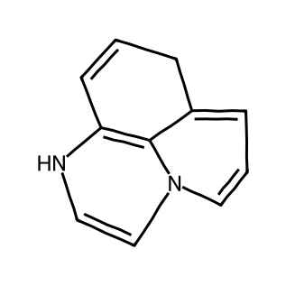 C1=CN2C=CNC3=C2C(=C1)CC=C3